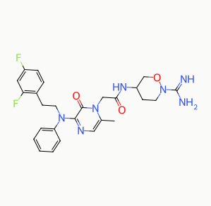 Cc1cnc(N(CCc2ccc(F)cc2F)c2ccccc2)c(=O)n1CC(=O)NC1CCN(C(=N)N)OC1